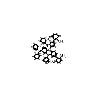 Cc1cccc(C)c1-c1ccc2c(c1)N(c1ccccc1)c1cc(N(c3ccccc3)c3ccccc3)cc3c1B2c1ccc(-c2c(C)cccc2C)cc1N3c1ccccc1